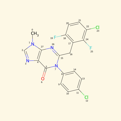 Cn1cnc2c(=O)n(-c3ccc(Cl)cc3)c(Cc3c(F)ccc(Cl)c3F)nc21